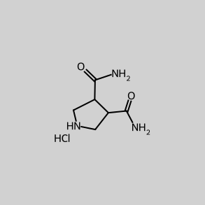 Cl.NC(=O)C1CNCC1C(N)=O